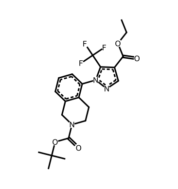 CCOC(=O)c1cnn(-c2cccc3c2CCN(C(=O)OC(C)(C)C)C3)c1C(F)(F)F